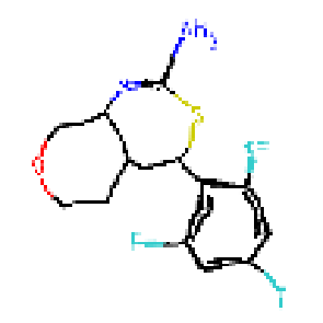 NC1=NC2COCCC2C(c2c(F)cc(F)cc2F)S1